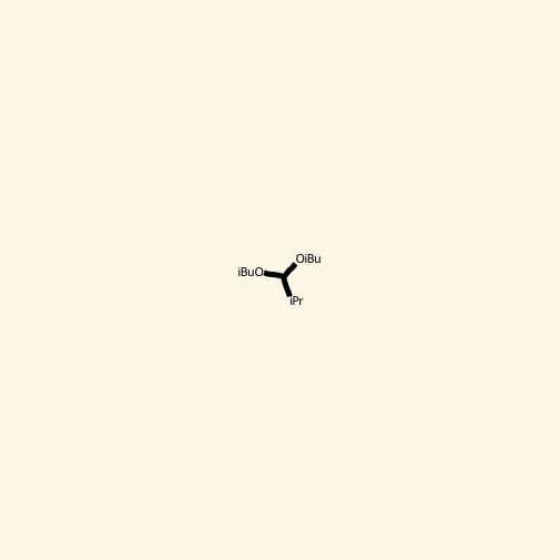 CC(C)COC(OCC(C)C)C(C)C